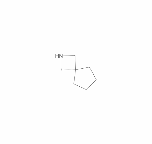 C1CCC2(C1)CNC2